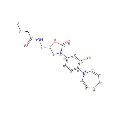 CCCC(=O)NC[C@H]1CN(c2ccc(N3C=CCSC=C3)c(F)c2)C(=O)O1